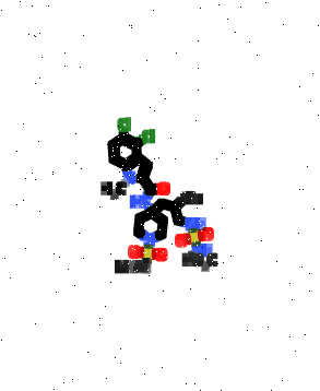 CC(=O)NS(=O)(=O)N1CCC(CC(CNS(=O)(=O)NC(=O)O)C(C)(C)C)(NC(=O)c2cc3c(Cl)c(Cl)ccc3n2C)CC1